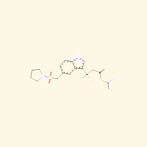 CC(N)OC(=O)CC(O)(C(=O)O)c1c[nH]c2ccc(CS(=O)(=O)N3CCCC3)cc12